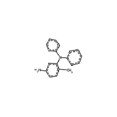 Cc1ccc(N)cc1N(c1ccccc1)c1ccccc1